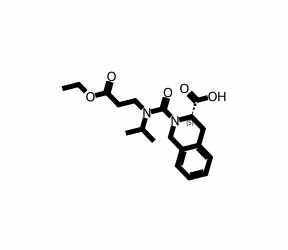 CCOC(=O)CCN(C(=O)N1Cc2ccccc2C[C@H]1C(=O)O)C(C)C